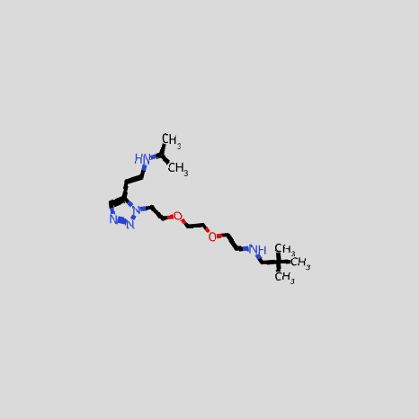 CC(C)NCCc1cnnn1CCOCCOCCNCC(C)(C)C